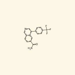 NC(=O)c1ccc2cncc(-c3ccc(C(F)(F)F)cc3)c2c1